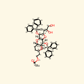 CC(C)(C)C(=O)OCC[C@H]1CC[C@@H]2O[C@@H]3[C@@H](O[C@H](CC(O)CO)[C@@H]3O[Si](c3ccccc3)(c3ccccc3)C(C)(C)C)[C@@H](O[Si](c3ccccc3)(c3ccccc3)C(C)(C)C)[C@H]2O1